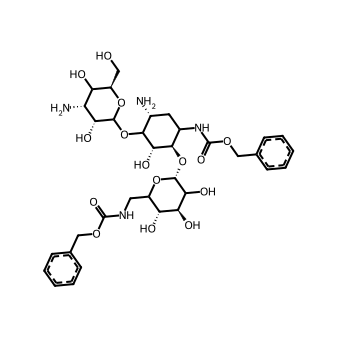 N[C@@H]1CC(NC(=O)OCc2ccccc2)[C@@H](O[C@H]2OC(CNC(=O)OCc3ccccc3)[C@@H](O)[C@H](O)C2O)[C@H](O)C1OC1O[C@H](CO)C(O)[C@@H](N)[C@H]1O